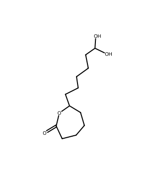 O=C1CCCCC(CCCCCC(O)O)O1